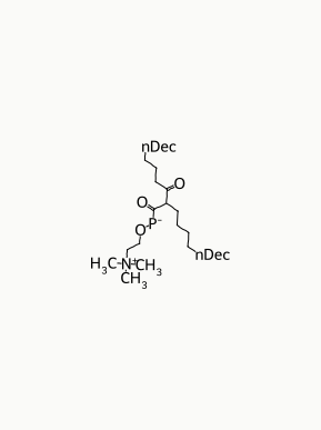 CCCCCCCCCCCCCCC(C(=O)CCCCCCCCCCCCC)C(=O)[P-]OCC[N+](C)(C)C